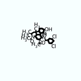 COc1cc2c(c(O)c1NC(=O)c1cc(Cl)cc(Cl)c1)C(C)(c1ccc(O)cc1)CC(C)(C)N2C(C)=O